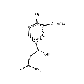 CC(N)C[C@@H](O)c1ccc(O)c(CO)c1